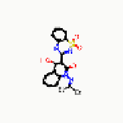 CCC(CC)=Nn1c(=O)c(C2=NS(=O)(=O)c3ccccc3N2)c(O)c2ccccc21